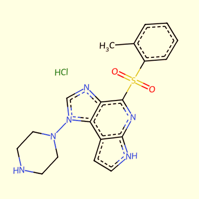 Cc1ccccc1S(=O)(=O)c1nc2[nH]ccc2c2c1ncn2N1CCNCC1.Cl